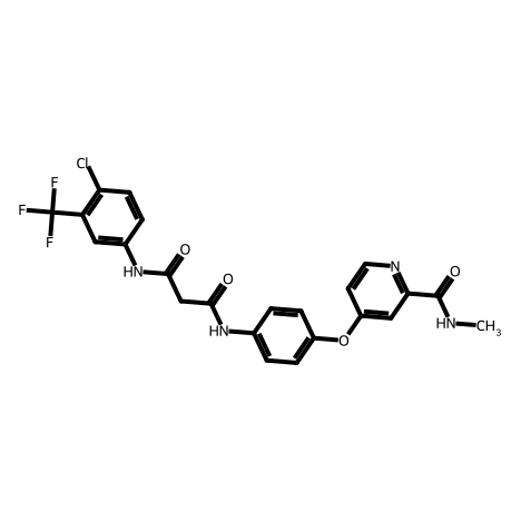 CNC(=O)c1cc(Oc2ccc(NC(=O)CC(=O)Nc3ccc(Cl)c(C(F)(F)F)c3)cc2)ccn1